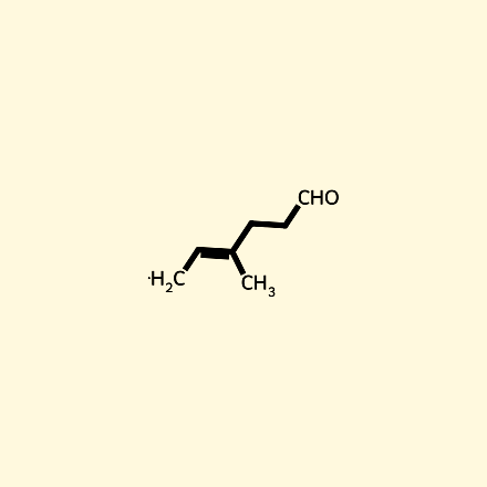 [CH2]/C=C(\C)CCC=O